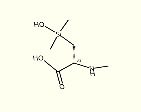 CN[C@@H](C[Si](C)(C)O)C(=O)O